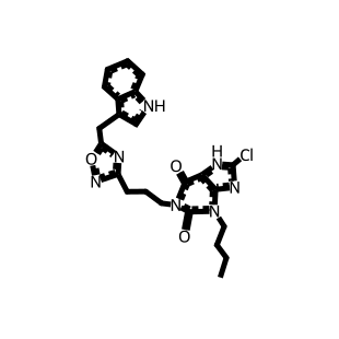 CCCCn1c(=O)n(CCCc2noc(Cc3c[nH]c4ccccc34)n2)c(=O)c2[nH]c(Cl)nc21